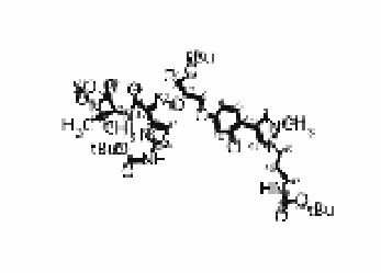 C[n+]1cc(-c2ccc(OCC(ON=C(C(=O)NC3C(=O)N(OS(=O)(=O)O)C3(C)C)c3csc(NC(=O)OC(C)(C)C)n3)C(=O)OC(C)(C)C)cc2Cl)cn1CCCNC(=O)OC(C)(C)C